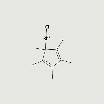 CC1=C(C)[C](C)([Rh+][Cl])C(C)=C1C